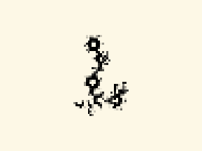 CCOC(=O)[C@H]1CN(c2nccc(C(F)(F)F)n2)C[C@H]1Cc1ccc(OCc2cc(-c3ccccc3)no2)cc1